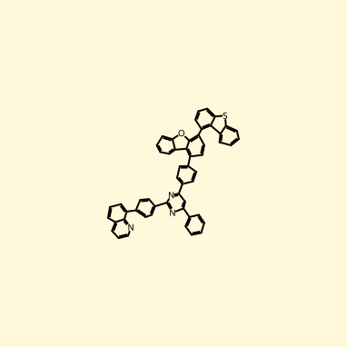 c1ccc(-c2cc(-c3ccc(-c4ccc(-c5cccc6sc7ccccc7c56)c5oc6ccccc6c45)cc3)nc(-c3ccc(-c4cccc5cccnc45)cc3)n2)cc1